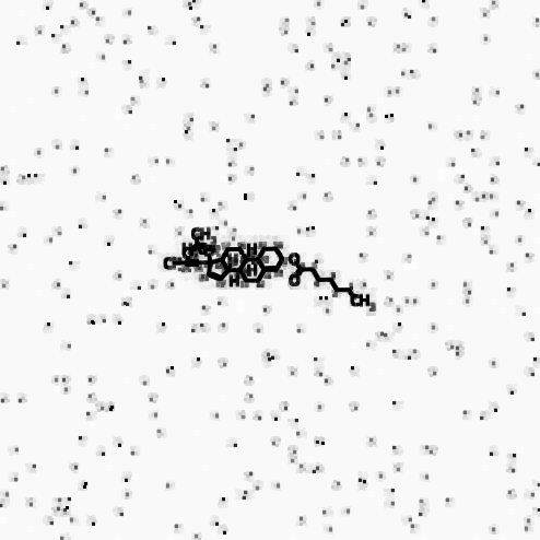 CCCCCCC(=O)O[C@@H]1C=C2CC[C@@H]3[C@H](CC[C@@]4(CC)[C@H]3C=C[C@]4(C#CCl)OC(C)=O)[C@H]2CC1